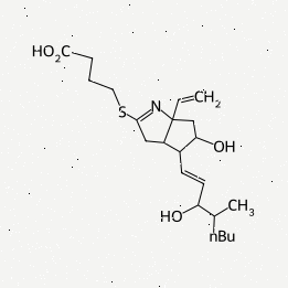 C=CC12CC(O)C(/C=C/C(O)C(C)CCCC)C1CC(SCCCC(=O)O)=N2